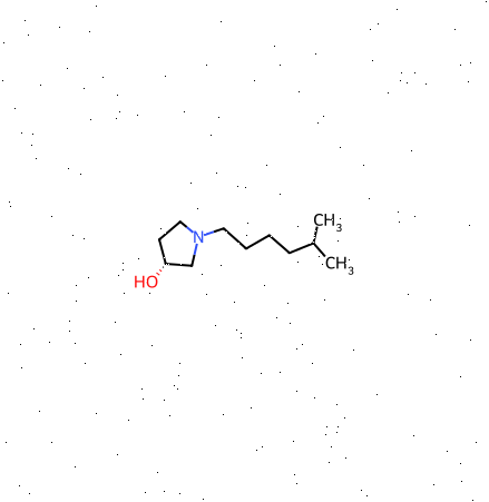 CC(C)CCCCN1CC[C@@H](O)C1